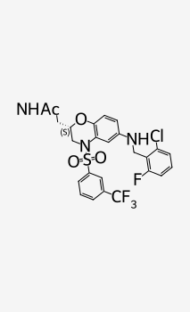 CC(=O)NC[C@H]1CN(S(=O)(=O)c2cccc(C(F)(F)F)c2)c2cc(NCc3c(F)cccc3Cl)ccc2O1